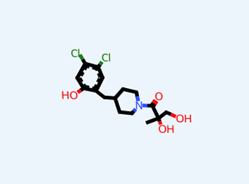 CC(O)(CO)C(=O)N1CCC(Cc2cc(Cl)c(Cl)cc2O)CC1